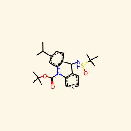 CC(C)c1ccc(C(N[S+]([O-])C(C)(C)C)c2ccccc2NC(=O)OC(C)(C)C)cc1